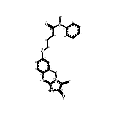 C=c1c(=O)[nH]c2n1Cc1cc(OCCCC(=O)N(C)c3ccccc3)ccc1N=2